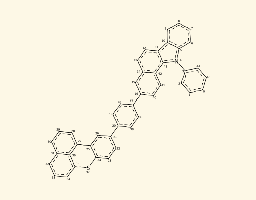 c1ccc(-n2c3ccccc3c3ccc4cc(-c5ccc(-c6ccc7c(c6)-c6cccc8cccc(c68)S7)cc5)ccc4c32)cc1